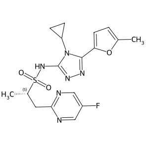 Cc1ccc(-c2nnc(NS(=O)(=O)[C@@H](C)Cc3ncc(F)cn3)n2C2CC2)o1